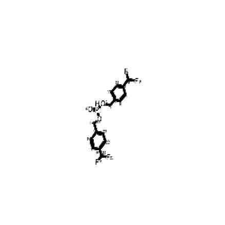 O=[PH](OCc1ccc(C(F)F)cc1)OCc1ccc(C(F)F)cc1